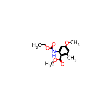 CCOC(=O)Nc1cc(OC)cc(C)c1C(=O)OC